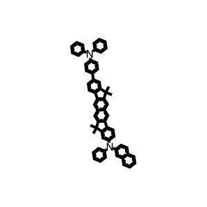 CC1(C)c2cc(-c3ccc(N(c4ccccc4)c4ccccc4)cc3)ccc2-c2cc3cc4c(cc3cc21)-c1ccc(N(c2ccccc2)c2ccc3ccccc3c2)cc1C4(C)C